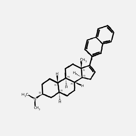 CN(C)[C@H]1CC[C@H]2[C@@H](CC[C@@H]3[C@@H]2CC[C@]2(C)C(c4ccc5ccccc5c4)=CC[C@@H]32)C1